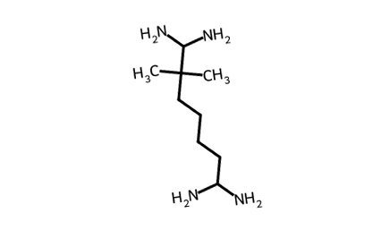 CC(C)(CCCCC(N)N)C(N)N